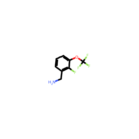 NCc1cccc(OC(F)(F)F)c1F